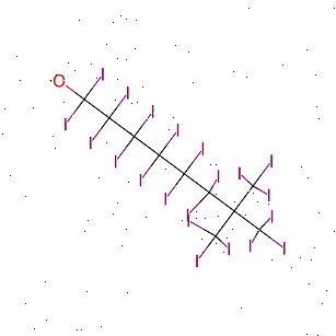 [O]C(I)(I)C(I)(I)C(I)(I)C(I)(I)C(I)(I)C(I)(I)C(C(I)(I)I)(C(I)(I)I)C(I)(I)I